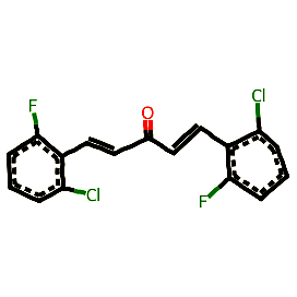 O=C(/C=C/c1c(F)cccc1Cl)/C=C/c1c(F)cccc1Cl